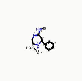 CCNC1=NCCNC(c2ccccc2)=C1.CS(=O)(=O)O